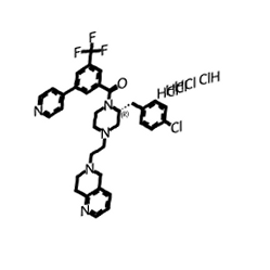 Cl.Cl.Cl.Cl.O=C(c1cc(-c2ccncc2)cc(C(F)(F)F)c1)N1CCN(CCN2CCc3ncccc3C2)C[C@H]1Cc1ccc(Cl)cc1